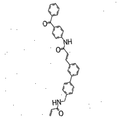 C=CC(=O)NCc1ccc(-c2cccc(/C=C/C(=O)Nc3ccc(C(=O)c4ccccc4)cc3)c2)cc1